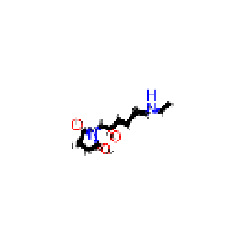 CCNCCCCC(=O)CN1C(=O)CCC1=O